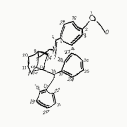 COc1ccc(C=NC2C3CCN(CC3)C2C(c2ccccc2)c2ccccc2)cc1